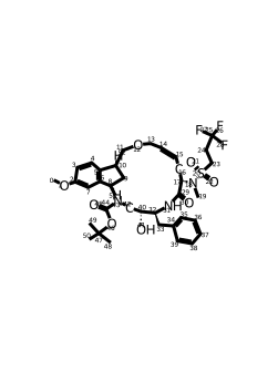 COc1ccc2c(c1)[C@@H]1C[C@H]2COC/C=C\C[C@H](N(C)S(=O)(=O)CCC(F)(F)F)C(=O)N[C@@H](Cc2ccccc2)[C@H](O)CN1C(=O)OC(C)(C)C